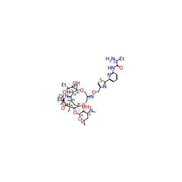 CCC(=O)/N=C1\[C@H](C)C[C@@]2(C)OC/C(=N/OCc3csc(-c4cccc(NC(=O)[C@@H](N)CC)n4)n3)CO[C@H]([C@H]1C)[C@](C)(O)[C@@H](CC)OC(=O)[C@@](C)(F)C(=O)[C@H](C)[C@H]2O[C@@H]1O[C@H](C)C[C@H](N(C)C)[C@H]1O